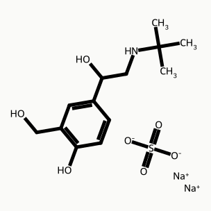 CC(C)(C)NCC(O)c1ccc(O)c(CO)c1.O=S(=O)([O-])[O-].[Na+].[Na+]